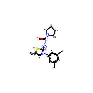 Cc1cc(C)cc(-n2cc(C)s/c2=N\C(=O)N2CCCC2)c1